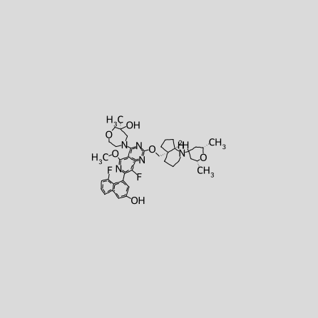 [2H]C1(N2CCC[C@@]3(COc4nc(N5CCOC[C@@](C)(O)C5)c5c(OC)nc(-c6cc(O)cc7cccc(F)c67)c(F)c5n4)CCC[C@@H]23)C[C@@H](C)O[C@@H](C)C1